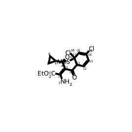 CCOC(=O)C(N)=C(C(=O)C1CC1)C(=O)C1C=CC(Cl)=CC1(Cl)SC